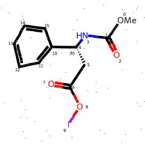 COC(=O)N[C@H](CC(=O)OI)c1ccccc1